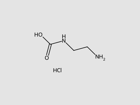 Cl.NCCNC(=O)O